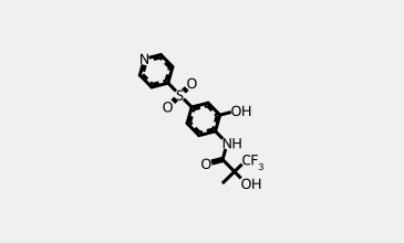 CC(O)(C(=O)Nc1ccc(S(=O)(=O)c2ccncc2)cc1O)C(F)(F)F